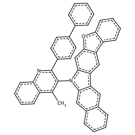 Cc1c(-n2c3cc4ccccc4cc3c3cc4c(cc32)oc2ccccc24)c(-c2ccc(-c3ccccc3)cc2)nc2ccccc12